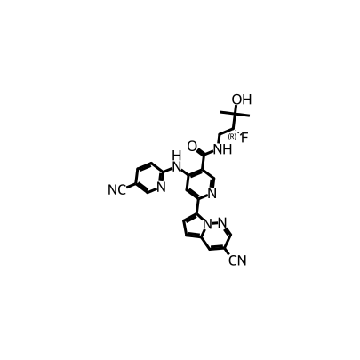 CC(C)(O)[C@H](F)CNC(=O)c1cnc(-c2ccc3cc(C#N)cnn23)cc1Nc1ccc(C#N)cn1